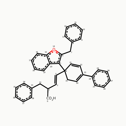 O=C(O)C(C=CC1(c2c(Cc3ccccc3)oc3ccccc23)C=CC(c2ccccc2)=CC1)Cc1ccccc1